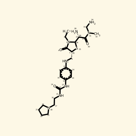 CCN1C(=O)[C@@H](CNc2ccc(NC(=O)NCCN3CCCC3)cc2)SC1[C@H](N)C(=O)N(C)CN